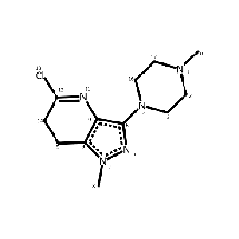 CN1CCN(c2nn(C)c3c2N=C(Cl)CC3)CC1